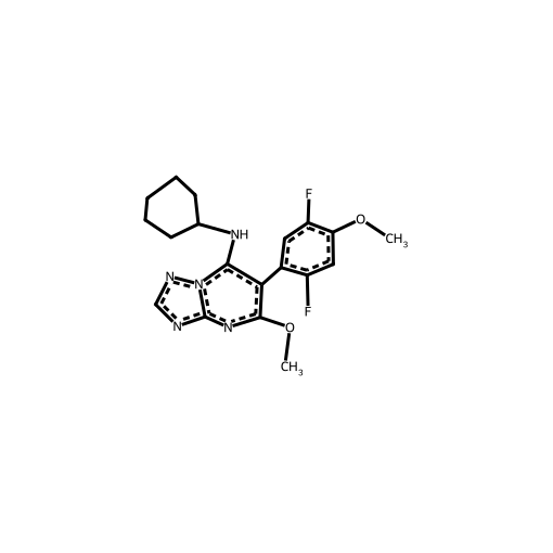 COc1cc(F)c(-c2c(OC)nc3ncnn3c2NC2CCCCC2)cc1F